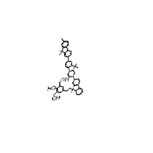 Cc1ccc2c(c1)C(C)(C)c1cc(-c3ccc4c(c3)C(C)(C)c3cc(-c5ccc6c(c5)C(C)(CCc5cc(CO)c(O)c(CO)c5)c5ccccc5-6)ccc3-4)ccc1-2